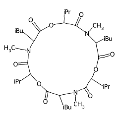 CCC(C)C1C(=O)OC(C(C)C)C(=O)N(C)C(C(C)CC)C(=O)OC(C(C)C)C(=O)N(C)C(C(C)CC)C(=O)OC(C(C)C)C(=O)N1C